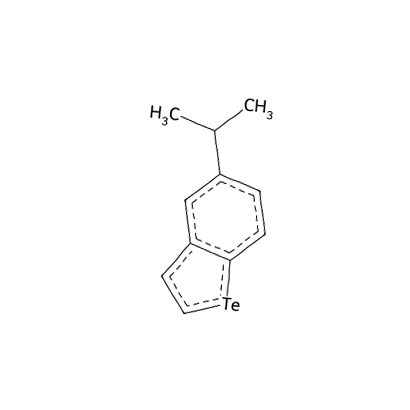 CC(C)c1ccc2[te]ccc2c1